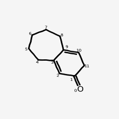 O=C1C=C2CCCCCC2=CC1